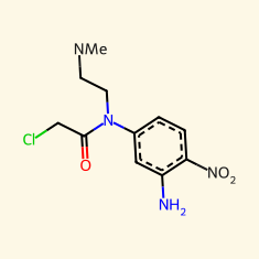 CNCCN(C(=O)CCl)c1ccc([N+](=O)[O-])c(N)c1